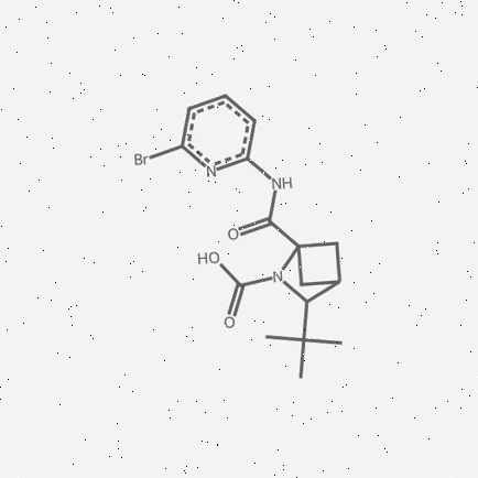 CC(C)(C)C1C2CC(C(=O)Nc3cccc(Br)n3)(C2)N1C(=O)O